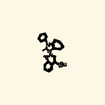 CB1c2ccccc2C(C(C)(C)C)=CN1N1c2ccccc2N(c2ccccc2)[C@@H]1C